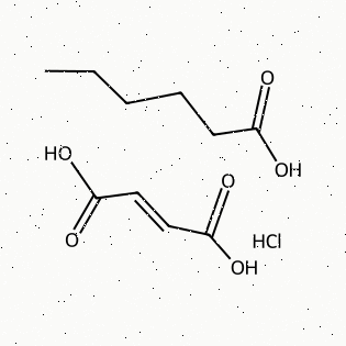 CCCCCC(=O)O.Cl.O=C(O)/C=C/C(=O)O